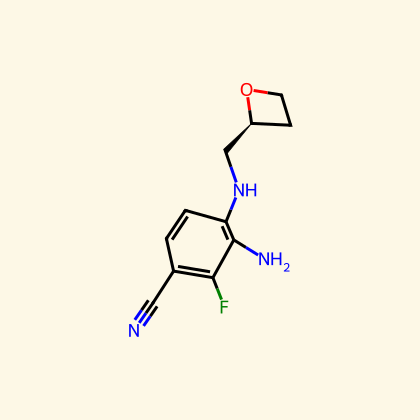 N#Cc1ccc(NC[C@@H]2CCO2)c(N)c1F